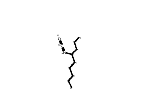 CCCCCC(CCC)N=C=O